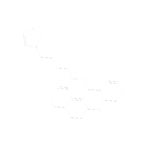 CC(CCCn1ccnc1)NC(=O)c1c(C(C)C)ccc2nc3ccccn3c(=O)c12